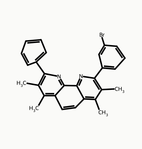 Cc1c(-c2ccccc2)nc2c(ccc3c(C)c(C)c(-c4cccc(Br)c4)nc32)c1C